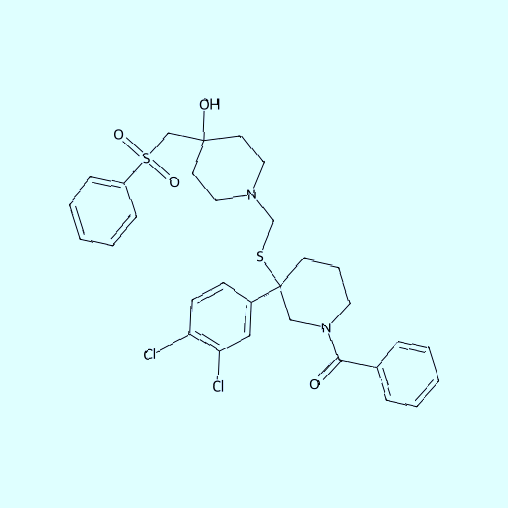 O=C(c1ccccc1)N1CCCC(SCN2CCC(O)(CS(=O)(=O)c3ccccc3)CC2)(c2ccc(Cl)c(Cl)c2)C1